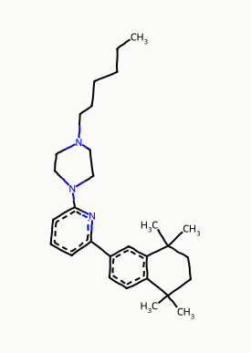 CCCCCCN1CCN(c2cccc(-c3ccc4c(c3)C(C)(C)CCC4(C)C)n2)CC1